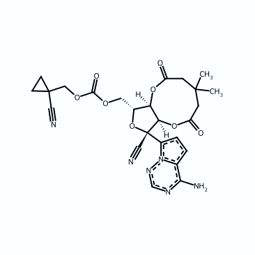 CC1(C)CC(=O)O[C@H]2[C@@H](OC(=O)C1)[C@](C#N)(c1ccc3c(N)ncnn13)O[C@@H]2COC(=O)OCC1(C#N)CC1